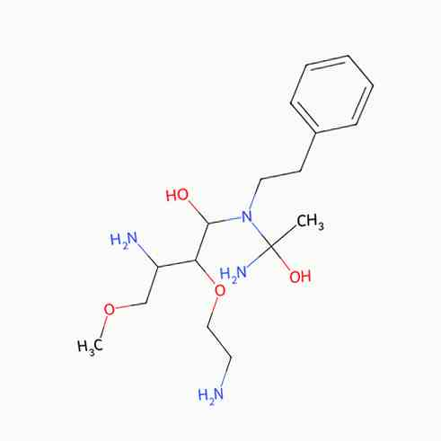 COCC(N)C(OCCN)C(O)N(CCc1ccccc1)C(C)(N)O